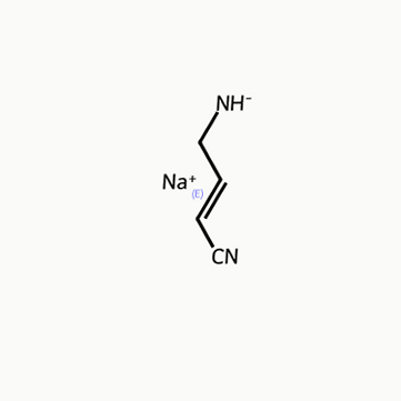 N#C/C=C/C[NH-].[Na+]